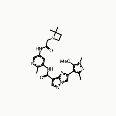 COc1c(-c2cn3ncc(C(=O)Nc4cc(NC(=O)CN5CCC5(C)C)cnc4C)c3s2)c(C)nn1C